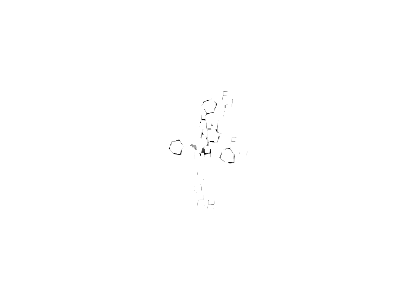 COc1cccc(-c2c(C)n(Cc3c(F)cccc3C(F)(F)F)c(=O)n(C[C@H](NCCCCOCO)c3ccccc3)c2=O)c1F